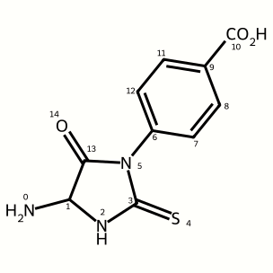 NC1NC(=S)N(c2ccc(C(=O)O)cc2)C1=O